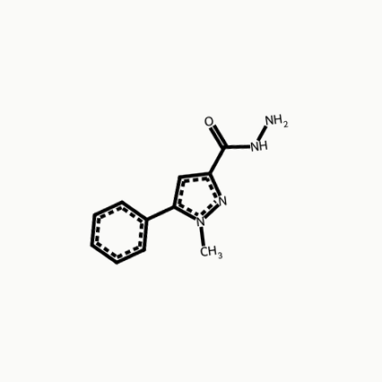 Cn1nc(C(=O)NN)cc1-c1ccccc1